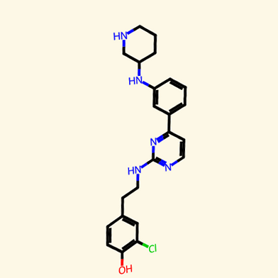 Oc1ccc(CCNc2nccc(-c3cccc(NC4CCCNC4)c3)n2)cc1Cl